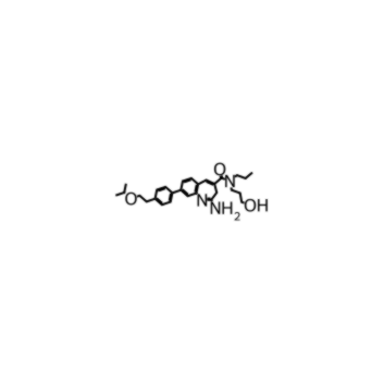 CCCN(CCCO)C(=O)C1=Cc2ccc(-c3ccc(CCOC(C)C)cc3)cc2N=C(N)C1